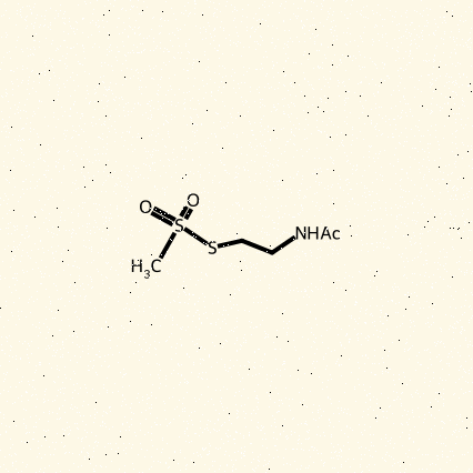 CC(=O)NCCSS(C)(=O)=O